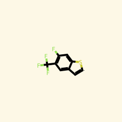 Fc1cc2s[c]cc2cc1C(F)(F)F